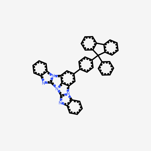 c1ccc(C2(c3ccc(-c4cc5c6c(c4)n4c7ccccc7nc4n6c4nc6ccccc6n54)cc3)c3ccccc3-c3ccccc32)cc1